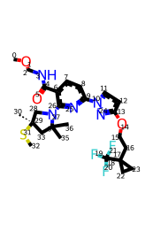 COCNC(=O)c1ccc(-n2ccc(OCCC3(C(F)(F)F)CC3)n2)nc1N1C[C@](C)(SC)CC1(C)C